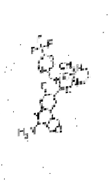 C[C@H](c1ncccn1)N(Cc1ccc(C(F)(F)F)cn1)C(=O)c1cc2c3c(c(N)nc2cc1F)COC3